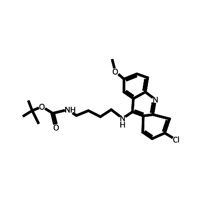 COc1ccc2nc3cc(Cl)ccc3c(NCCCCNC(=O)OC(C)(C)C)c2c1